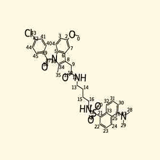 COc1ccc2c(c1)c(CC(=O)NCCCCNS(=O)(=O)c1cccc3c(N(C)C)cccc13)c(C)n2C(=O)c1ccc(Cl)cc1